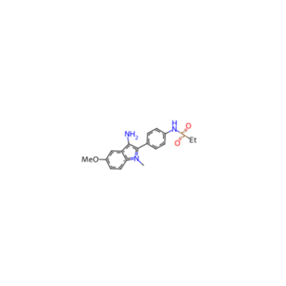 CCS(=O)(=O)Nc1ccc(-c2c(N)c3cc(OC)ccc3n2C)cc1